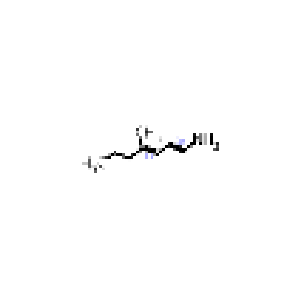 CCC/C(C)=C/C=C/N